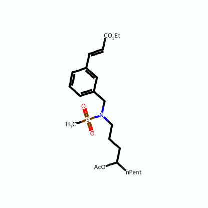 CCCCCC(CCCN(Cc1cccc(C=CC(=O)OCC)c1)S(C)(=O)=O)OC(C)=O